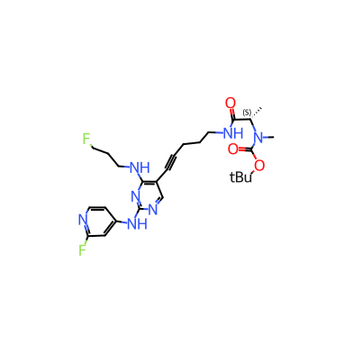 C[C@@H](C(=O)NCCCC#Cc1cnc(Nc2ccnc(F)c2)nc1NCCCF)N(C)C(=O)OC(C)(C)C